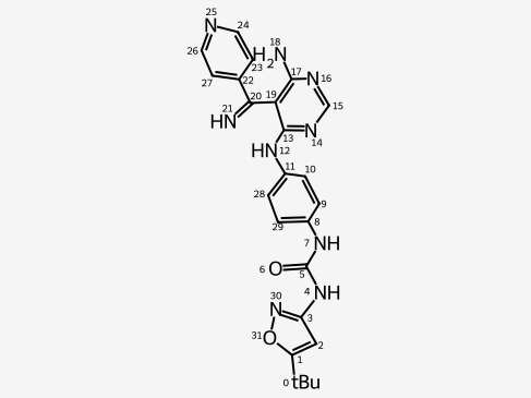 CC(C)(C)c1cc(NC(=O)Nc2ccc(Nc3ncnc(N)c3C(=N)c3ccncc3)cc2)no1